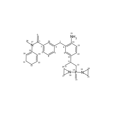 C=C(c1cccc(Cc2cc(C(C)CP(=C)(N3CC3)N3CC3)ccc2N)c1)N(C)C1=CCCC=C1